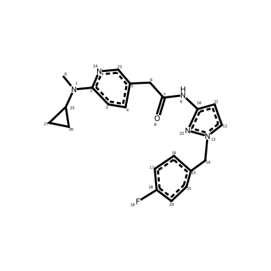 CN(c1ccc(CC(=O)Nc2ccn(Cc3ccc(F)cc3)n2)cn1)C1CC1